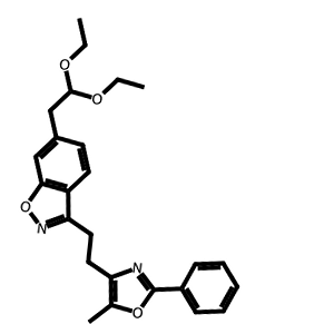 CCOC(Cc1ccc2c(CCc3nc(-c4ccccc4)oc3C)noc2c1)OCC